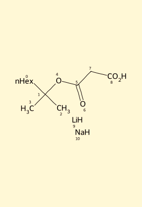 CCCCCCC(C)(C)OC(=O)CC(=O)O.[LiH].[NaH]